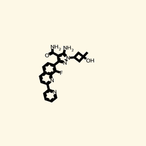 CC1(O)CC(n2nc(-c3ccc4ccc(-c5ccccn5)nc4c3F)c(C(N)=O)c2N)C1